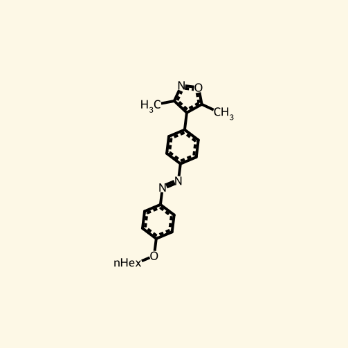 CCCCCCOc1ccc(N=Nc2ccc(-c3c(C)noc3C)cc2)cc1